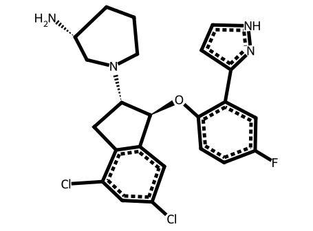 N[C@@H]1CCCN([C@H]2Cc3c(Cl)cc(Cl)cc3[C@@H]2Oc2ccc(F)cc2-c2cc[nH]n2)C1